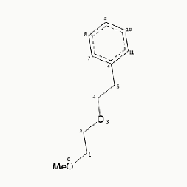 COCCOCCc1c[c]ccc1